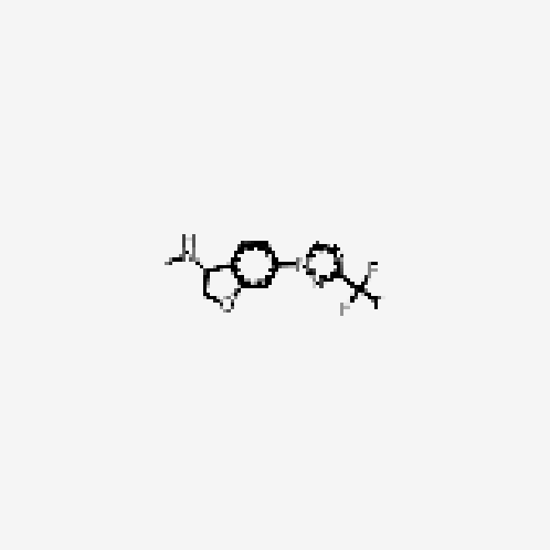 CN[C@@H]1COc2cc(-n3cnc(C(F)(F)F)n3)ccc21